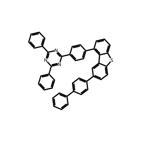 c1ccc(-c2ccc(-c3ccc4sc5cccc(-c6ccc(-c7nc(-c8ccccc8)nc(-c8ccccc8)n7)cc6)c5c4c3)cc2)cc1